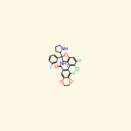 NC(=O)c1cc2c(c(F)c1-c1c(Cl)c(F)cc3c1CC(c1cccc(F)c1)(C1CCCN1)O3)OCCO2